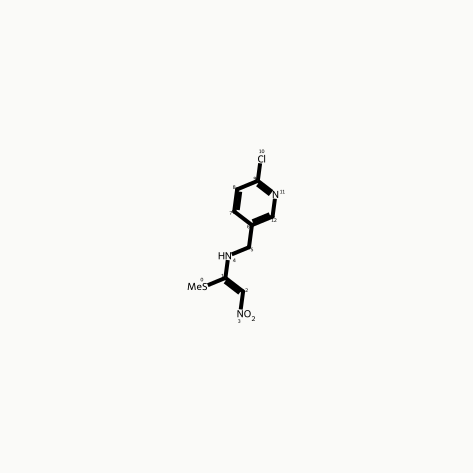 CSC(=C[N+](=O)[O-])NCc1ccc(Cl)nc1